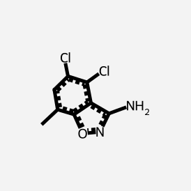 Cc1cc(Cl)c(Cl)c2c(N)noc12